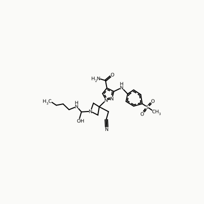 CCCCNC(O)N1CC(CC#N)(n2cc(C(N)=O)c(Nc3ccc(S(C)(=O)=O)cc3)n2)C1